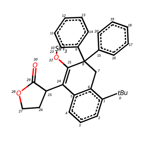 CC(C)(C)c1cccc2c1CC(c1ccccc1)(c1ccccc1)C(O[SiH3])=C2C1CCOC1=O